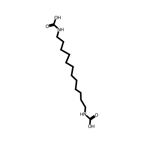 O=C(O)NCCCCCCCCCCCCNC(=O)O